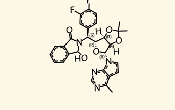 Cc1ncnc2c1ccn2[C@@H]1O[C@H]([C@H](c2ccc(F)c(F)c2)N2C(=O)c3ccccc3C2O)[C@H]2OC(C)(C)O[C@H]21